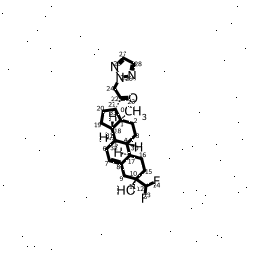 C[C@]12CC[C@H]3[C@@H](CC=C4C[C@@](O)(C(F)F)CC[C@@H]43)[C@@H]1CC[C@@H]2C(=O)Cn1nccn1